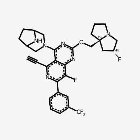 C#Cc1nc(-c2cccc(C(F)(F)F)c2)c(F)c2nc(OC[C@@]34CCCN3C[C@H](F)C4)nc(N3CC4CCC(C3)N4)c12